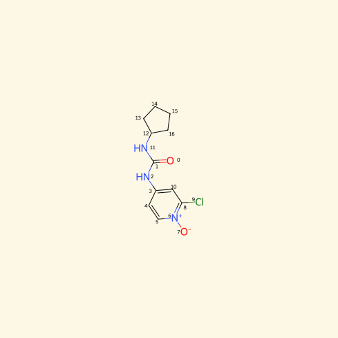 O=C(Nc1cc[n+]([O-])c(Cl)c1)NC1CCCC1